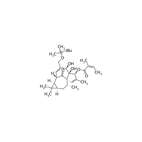 C/C=C(/C)C(=O)O[C@H]1C(C)=C[C@]23C(=O)[C@@H](C=C(CO[Si](C)(C)C(C)(C)C)[C@@H](O)[C@]12O)[C@H]1[C@@H](C[C@H]3C)C1(C)C